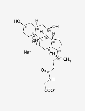 C[C@H](CCC(=O)NCC(=O)[O-])[C@H]1CC[C@H]2[C@@H]3[C@H](O)C[C@@H]4C[C@H](O)CC[C@]4(C)[C@H]3CC[C@]12C.[Na+]